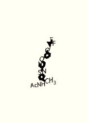 CC(=O)NC(C)c1ccc2sc(-c3ccc(Oc4cccc(OC[C@@H]5CC5(F)F)c4)nc3)nc2c1